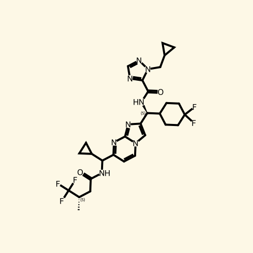 C[C@@H](CC(=O)NC(c1ccn2cc([C@@H](NC(=O)c3ncnn3CC3CC3)C3CCC(F)(F)CC3)nc2n1)C1CC1)C(F)(F)F